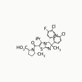 CC(C)C1=C(C(=O)N2[C@H](C)CC[C@H]2C(=O)O)SC2=N[C@@](C)(c3ccc(Cl)nc3)[C@@H](c3ccc(Cl)c(F)c3)N21